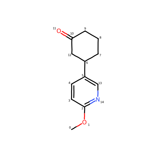 COc1ccc(C2CCCC(=O)C2)cn1